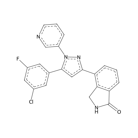 O=C1NCc2c1cccc2-c1cc(-c2cc(F)cc(Cl)c2)n(-c2cccnc2)n1